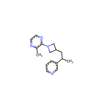 Cc1nccnc1N1CC(CC(C)c2cccnc2)C1